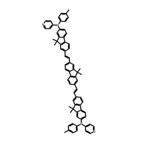 Cc1ccc(N(c2ccncc2)c2ccc3c(c2)C(C)(C)c2cc(/C=C/c4ccc5c(c4)C(C)(C)c4cc(/C=C/c6ccc7c(c6)C(C)(C)c6cc(N(c8ccncc8)c8ccc(C)cc8)ccc6-7)ccc4-5)ccc2-3)cc1